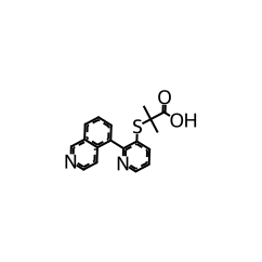 CC(C)(Sc1cccnc1-c1cccc2cnccc12)C(=O)O